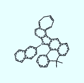 CC1(C)c2ccccc2-c2c3c1cccc3cc1c3c4c(ccc3n(-c3ccc5ccccc5c3)c21)=CCC=CC=4